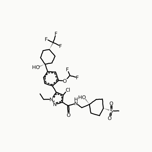 CCn1nc(C(=O)NC[C@]2(O)CC[C@@H](S(C)(=O)=O)CC2)c(Cl)c1-c1ccc([C@]2(O)CC[C@@H](C(F)(F)F)CC2)cc1OC(F)F